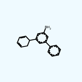 Bc1cc(-c2ccccc2)cc(C2C=CC=CC2)c1